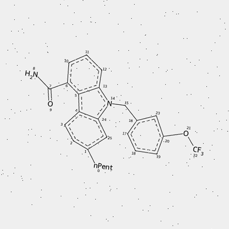 CCCCCc1c[c]c2c3c(C(N)=O)cccc3n(Cc3cccc(OC(F)(F)F)c3)c2c1